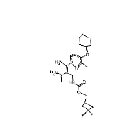 Cc1nc(/C(N)=C(\CNC(=O)OCC2CC(F)(F)C2)N(C)N)ccc1OC1CCCCC1